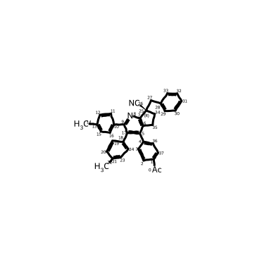 CC(=O)c1ccc(-c2c3c(nc(-c4ccc(C)cc4)c2-c2ccc(C)cc2)[C@](C#N)(Cc2ccccc2)CC3)cc1